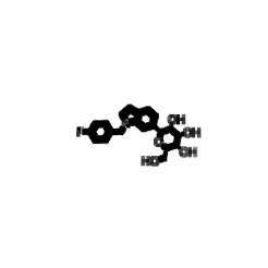 OC[C@H]1O[C@@H](c2ccc3ccn(Cc4ccc(F)cc4)c3c2)[C@H](O)[C@@H](O)[C@@H]1O